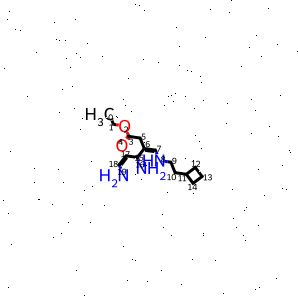 CCOC(=O)C/C(=C/NCCC1CCC1)C(N)/C=C\N